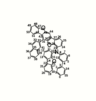 c1ccc(-c2cccc(N(c3cccc4c3oc3ccccc34)c3cccc4c3oc3c(-c5ccc6ccccc6c5)c5c(cc34)oc3ccccc35)c2)cc1